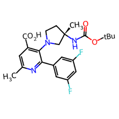 Cc1cc(C(=O)O)c(N2CC[C@](C)(NC(=O)OC(C)(C)C)C2)c(-c2cc(F)cc(F)c2)n1